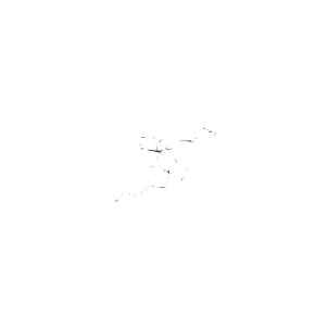 CCCCCC1(OC2(CCCCC)CCO2)CCO1